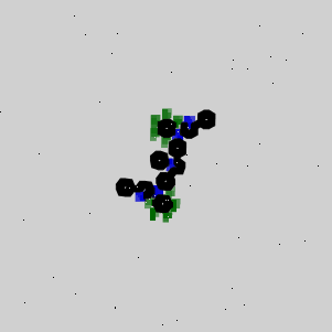 Fc1c(F)c(F)c(N(c2ccc(-c3ccc(-c4ccc(N(c5ccc(-c6ccccc6)nc5)c5c(F)c(F)c(F)c(F)c5F)cc4)n3-c3ccccc3)cc2)c2ccc(-c3ccccc3)nc2)c(F)c1F